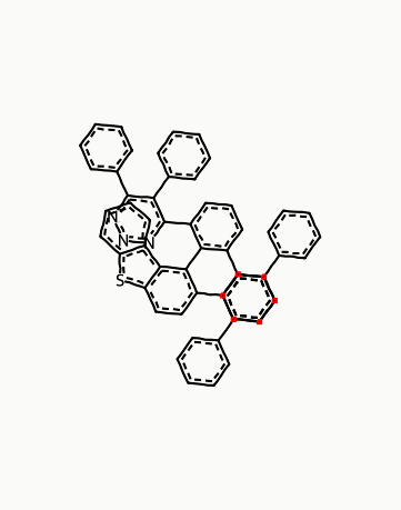 c1ccc(-c2ccccc2-c2cccc(-c3nnnc(-c4ccccc4)c3-c3ccccc3)c2-c2c(-c3ccccc3-c3ccccc3)ccc3sc4ccccc4c23)cc1